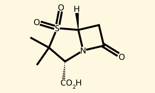 CC1(C)[C@@H](C(=O)O)N2C(=O)C[C@H]2S1(=O)=O